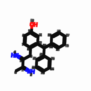 CC(=N)C(=N)Cc1ccc(O)cc1C(c1ccccc1)c1ccccc1